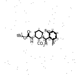 CC(C)(C)OC(=O)N[C@@H]1CCCN(C(C(=O)O)c2c(F)cccc2F)C1